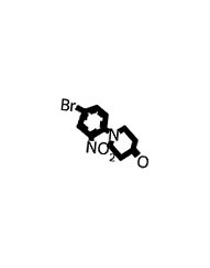 O=C1CCN(c2ccc(Br)cc2[N+](=O)[O-])CC1